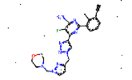 C#Cc1cccc(-c2nc(N)c(F)c(-c3cn(Cc4ccn(CN5CCOCC5)n4)nn3)n2)c1C